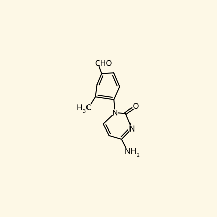 Cc1cc(C=O)ccc1-n1ccc(N)nc1=O